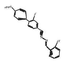 CCCCCc1ccc(-c2ccc(C=NN=Cc3ccccc3CC)cc2F)cc1